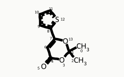 CC1(C)OC(=O)C=C(c2cccs2)O1